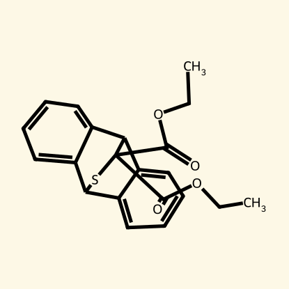 CCOC(=O)C1(C(=O)OCC)SC2c3ccccc3C1c1ccccc12